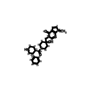 Cn1ccc2c(=O)n(CC3(O)CCN(C(=O)[C@@H]4CCNC[C@H]4c4ccccc4)CC3)cnc21